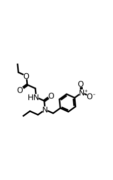 CCCN(Cc1ccc([N+](=O)[O-])cc1)C(=O)NCC(=O)OCC